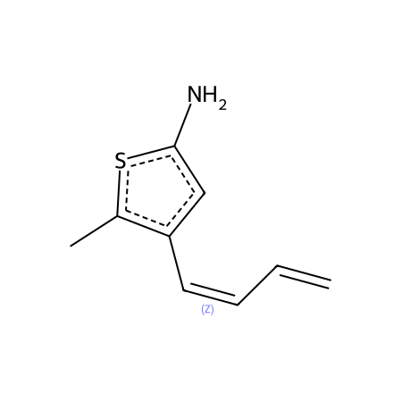 C=C/C=C\c1cc(N)sc1C